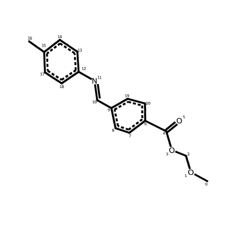 COCOC(=O)c1ccc(C=Nc2ccc(C)cc2)cc1